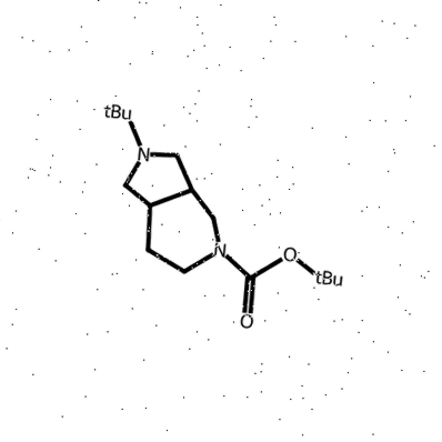 CC(C)(C)OC(=O)N1CCC2CN(C(C)(C)C)CC2C1